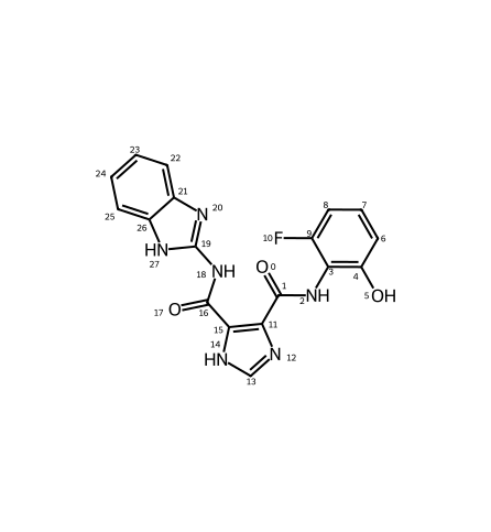 O=C(Nc1c(O)cccc1F)c1nc[nH]c1C(=O)Nc1nc2ccccc2[nH]1